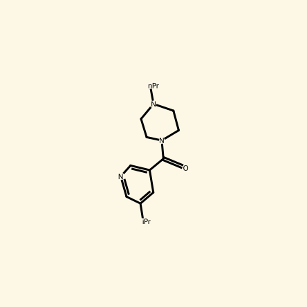 CCCN1CCN(C(=O)c2cncc(C(C)C)c2)CC1